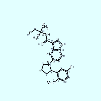 COc1ncc(F)cc1C1CCCN1c1ccn2ncc(C(=O)NC(C)(C)CF)c2n1